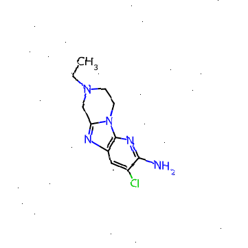 CCN1CCn2c(nc3cc(Cl)c(N)nc32)C1